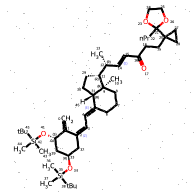 C=C1/C(=C\C=C2/CCC[C@]3(C)[C@@H]([C@H](C)/C=C/C(=O)CCC4(C5(CCC)OCCO5)CC4)CC[C@@H]23)C[C@@H](O[Si](C)(C)C(C)(C)C)C[C@@H]1O[Si](C)(C)C(C)(C)C